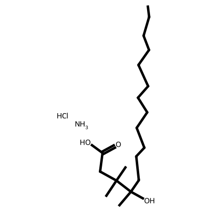 CCCCCCCCCCCCC(C)(O)C(C)(C)CC(=O)O.Cl.N